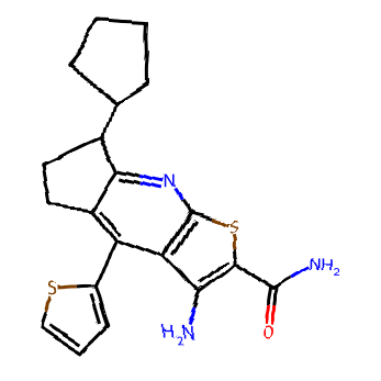 NC(=O)c1sc2nc3c(c(-c4cccs4)c2c1N)CCC3C1CCCC1